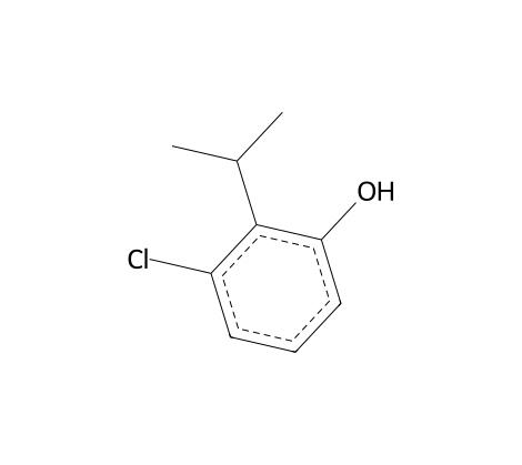 CC(C)c1c(O)cccc1Cl